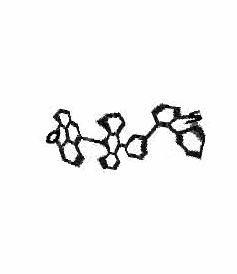 c1cc(-c2c3ccccc3c(-c3cc4cccc5oc6cccc3c6c45)c3ccccc23)cc(-c2cccc3sc4ccccc4c23)c1